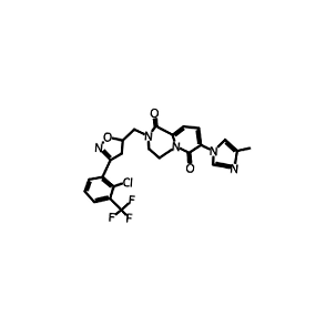 Cc1cn(-c2ccc3n(c2=O)CCN(CC2CC(c4cccc(C(F)(F)F)c4Cl)=NO2)C3=O)cn1